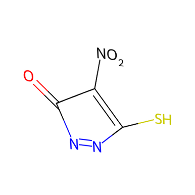 O=C1N=NC(S)=C1[N+](=O)[O-]